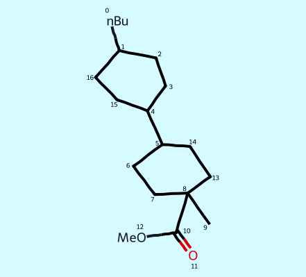 CCCCC1CCC(C2CCC(C)(C(=O)OC)CC2)CC1